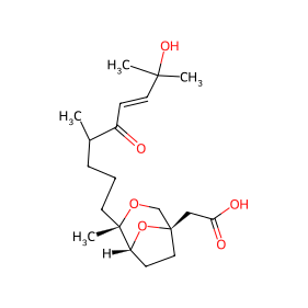 CC(CCC[C@]1(C)OC[C@]2(CC(=O)O)CC[C@H]1O2)C(=O)/C=C/C(C)(C)O